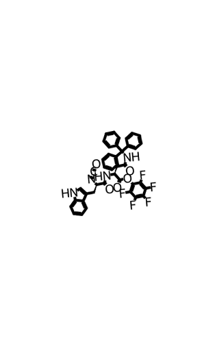 O=C=N[C@H](Cc1c[nH]c2ccccc12)C(=O)N[C@@H](CC(=O)NC(c1ccccc1)(c1ccccc1)c1ccccc1)C(=O)Oc1c(F)c(F)c(F)c(F)c1F